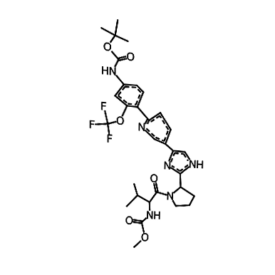 COC(=O)NC(C(=O)N1CCCC1c1nc(-c2ccc(-c3ccc(NC(=O)OC(C)(C)C)cc3OC(F)(F)F)nc2)c[nH]1)C(C)C